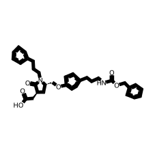 O=C(O)C[C@@H]1C[C@@H](COc2ccc(CCCNC(=O)OCc3ccccc3)cc2)N(CCCc2ccccc2)C1=O